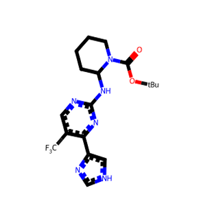 CC(C)(C)OC(=O)N1CCCCC1Nc1ncc(C(F)(F)F)c(-c2c[nH]cn2)n1